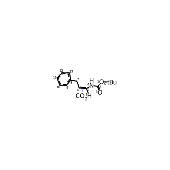 CC(C)(C)OC(=O)N/C(=C\Cc1ccccc1)C(=O)O